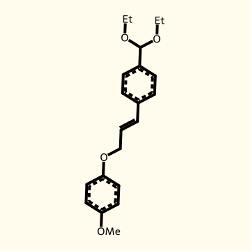 CCOC(OCC)c1ccc(C=CCOc2ccc(OC)cc2)cc1